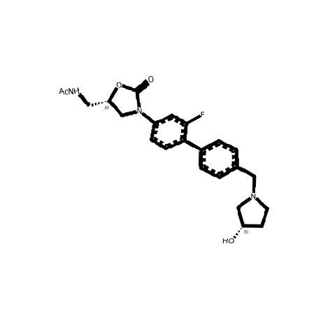 CC(=O)NC[C@H]1CN(c2ccc(-c3ccc(CN4CC[C@H](O)C4)cc3)c(F)c2)C(=O)O1